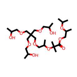 CC(O)COCC(COCC(C)O)(COCC(C)O)COCC(C)OC(C)(C)C(=O)OCC(C)OC(C)C